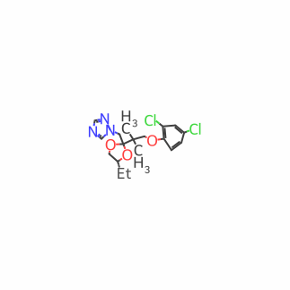 CCC1COC(Cn2cncn2)(C(C)(C)COc2ccc(Cl)cc2Cl)O1